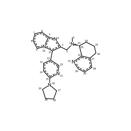 CN(Cc1nc2ccccn2c1-c1ccc(N2CCCC2)nc1)[C@H]1CCCc2cccnc21